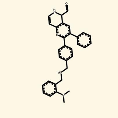 CN(C)c1ccccc1CNCc1ccc(-c2nc3c(cc2-c2ccccc2)C(C=O)NC=C3)cc1